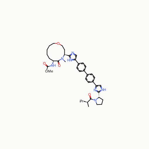 COC(=O)N[C@H]1CCCCCOCC[C@@H](c2ncc(-c3ccc(-c4ccc(-c5c[nH]c([C@@H]6CCCN6C(=O)[C@@H](C)C(C)C)n5)cc4)cc3)[nH]2)N(C)C1=O